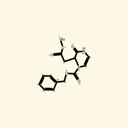 CC(C)(C)OC(=O)CC1C(=O)NC=CN1C(=O)OCc1ccccc1